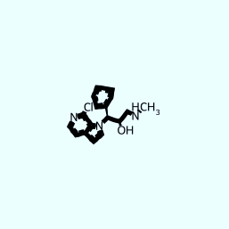 CNC[C@@H](O)[C@H](c1ccccc1)n1ccc2ccnc(Cl)c21